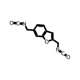 O=C=NCc1ccc2cc(CN=C=O)oc2c1